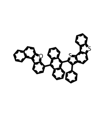 c1ccc(-c2c(-c3c4ccccc4c(-c4cccc5c4oc4ccc6ccccc6c45)c4ccccc34)sc3c2ccc2sc4ccccc4c23)cc1